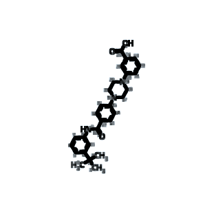 CC(C)(C)c1cccc(NC(=O)c2ccc(N3CCN(c4cccc(C(=O)O)c4)CC3)cc2)c1